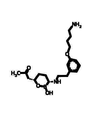 CC(=O)C[C@@H]1CC[C@H](NCCc2cccc(OCCCCN)c2)B(O)O1